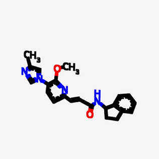 COc1nc(C=CC(=O)NC2CCc3ccccc32)ccc1-n1cnc(C)c1